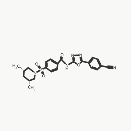 C[C@@H]1C[C@H](C)CN(S(=O)(=O)c2ccc(C(=O)Nc3nnc(-c4ccc(C#N)cc4)o3)cc2)C1